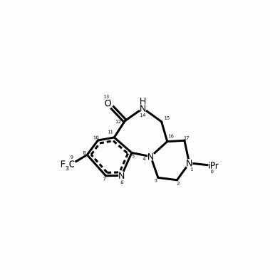 CC(C)N1CCN2c3ncc(C(F)(F)F)cc3C(=O)NCC2C1